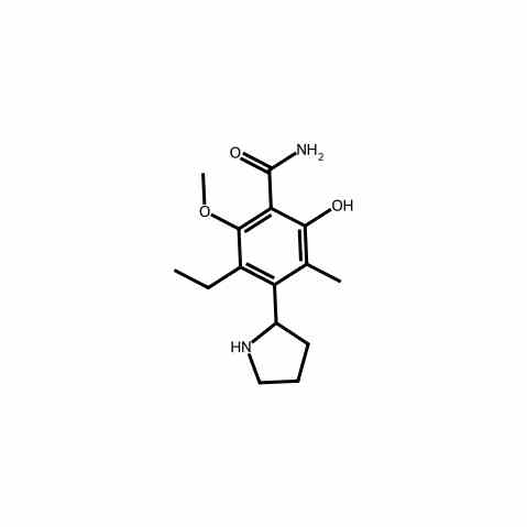 CCc1c(OC)c(C(N)=O)c(O)c(C)c1C1CCCN1